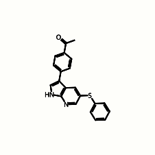 CC(=O)c1ccc(-c2c[nH]c3ncc(Sc4ccccc4)cc23)cc1